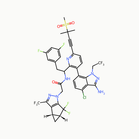 CC(C)(C#Cc1ccc(-c2ccc(Cl)c3c(N)nn(CC(F)(F)F)c23)c(C(Cc2cc(F)cc(F)c2)NC(=O)Cn2nc(C(F)(F)F)c3c2C(F)(F)[C@@H]2C[C@H]32)n1)S(C)(=O)=O